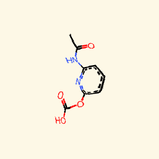 CC(=O)Nc1cccc(OC(=O)O)n1